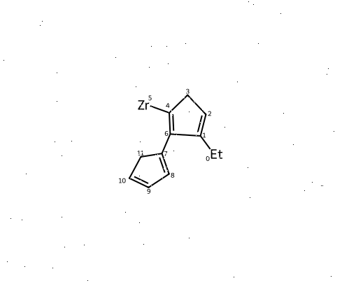 CCC1=CC[C]([Zr])=C1C1=CC=CC1